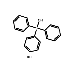 O[Si](c1ccccc1)(c1ccccc1)c1ccccc1.[KH]